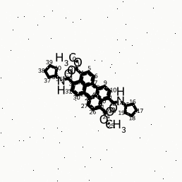 COC(=O)c1ccc2c3ccc(C(=O)NC4CCCC4)c4c(C(=O)OC)ccc(c5ccc(C(=O)NC6CCCC6)c1c52)c43